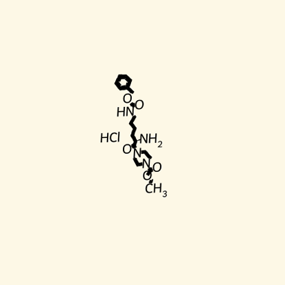 CCOC(=O)N1CCN(C(=O)[C@@H](N)CCCCNC(=O)OCc2ccccc2)CC1.Cl